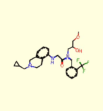 COCC(O)CN(Cc1ccccc1C(F)(F)F)C(=O)CNc1cccc2c1CCN(CC1CC1)C2